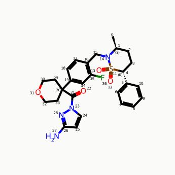 C[C@H]1CC[C@H](c2ccccc2)S(=O)(=O)N1Cc1ccc(C2(C(=O)n3ccc(N)n3)CCOCC2)cc1F